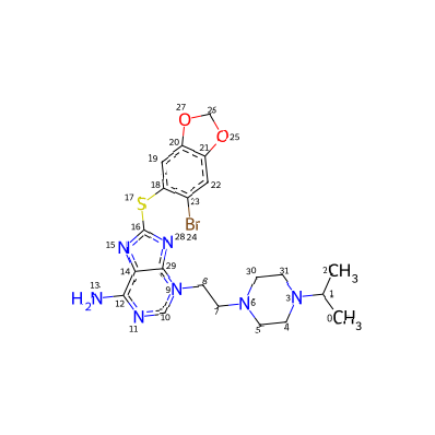 CC(C)N1CCN(CCn2cnc(N)c3nc(Sc4cc5c(cc4Br)OCO5)nc2-3)CC1